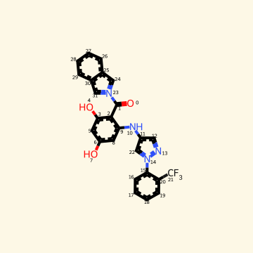 O=C(c1c(O)cc(O)cc1Nc1cnn(-c2ccccc2C(F)(F)F)c1)n1cc2ccccc2c1